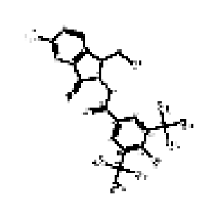 Cc1ccc2c(n1)C(=N)N(CC(=O)c1cc(C(C)(C)C)c(O)c(C(C)(C)C)c1)C2CO